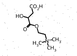 C[N+](C)(C)CCOC(=O)C(O)CC(=O)O